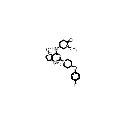 C=C(/N=C(/N[C@H]1CCC(=O)N(C)C1)C1=C(N)CC[S+]1[O-])N1CCC(Oc2ccc(F)cc2)CC1